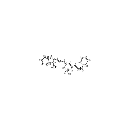 CC[n+]1c(/C=C/C=C2C=C(/C=C/N(C)c3ccccc3)CC(C)(C)C/2)sc2ccccc21